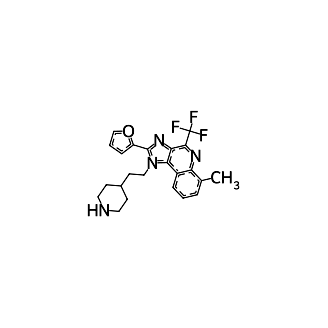 Cc1cccc2c1nc(C(F)(F)F)c1nc(-c3ccco3)n(CCC3CCNCC3)c12